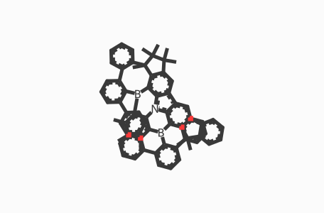 Cc1c(C)c2c3c(c1C)B1c4c(-c5ccccc5)cccc4-c4ccccc4C4(C)c5c(cc6c7cc8c(c(c7n-3c6c51)B2c1c(-c2ccccc2)cccc1-c1ccccc1)C(C)(C)c1ccccc1-8)C(C)(C)C4(C)C